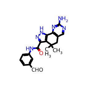 CC1(C)Cc2cnc(N)nc2-c2[nH]nc(C(=O)Nc3cccc(C=O)c3)c21